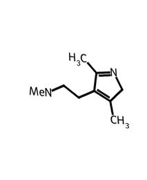 CNCCC1=C(C)CN=C1C